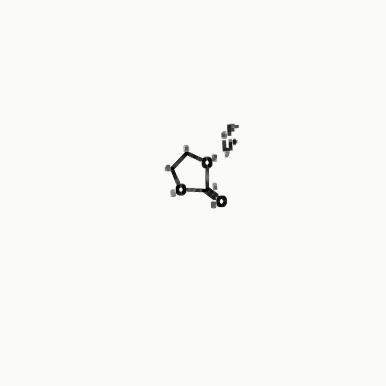 O=C1OCCO1.[F-].[Li+]